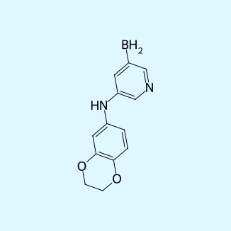 Bc1cncc(Nc2ccc3c(c2)OCCO3)c1